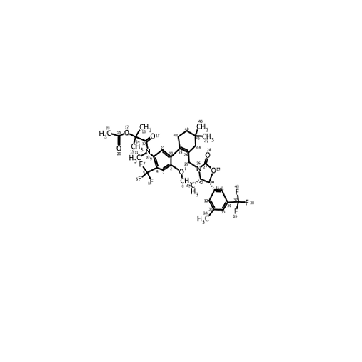 COc1cc(C(F)(F)F)c(N(C)C(=O)C(C)(C)OC(C)=O)cc1C1=C(CN2C(=O)O[C@H](c3cc(C)cc(C(F)(F)F)c3)[C@@H]2C)CC(C)(C)CC1